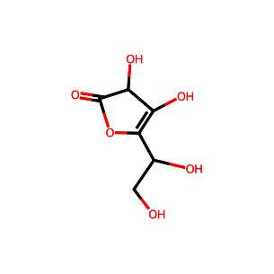 O=C1OC(C(O)CO)=C(O)C1O